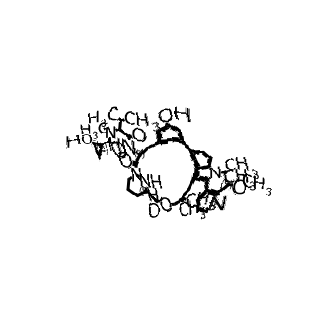 CCn1c(-c2cccnc2[C@H](C)OC)c2c3cc(ccc31)-c1cc(O)cc(c1)C[C@H](NC(=O)C(C(C)C)N(C)C(=O)[C@H]1C[C@@H]1O)C(=O)N1CCC[C@H](N1)C(=O)OCC(C)(C)C2